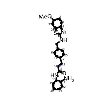 COc1ccc2nc(NCc3ccc(/C=C/C(=O)Nc4ccccc4N)cc3)sc2c1